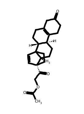 CC(=O)OCC(=O)[C@@]12C=CC3(CC1)[C@@H]1CCC4=C(CCC(=O)C4)[C@H]1CC[C@@]32C